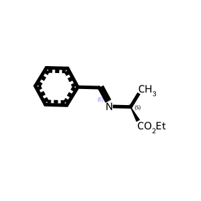 CCOC(=O)[C@H](C)/N=C/c1ccccc1